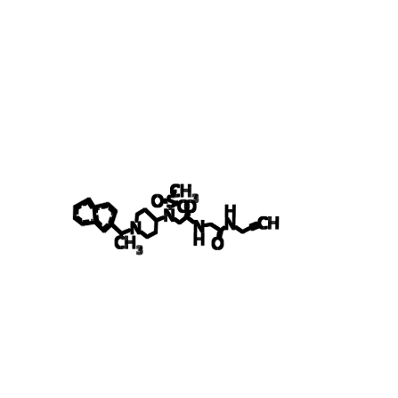 C#CCNC(=O)CNC(=O)CN(C1CCN(C(C)c2ccc3ccccc3c2)CC1)S(C)(=O)=O